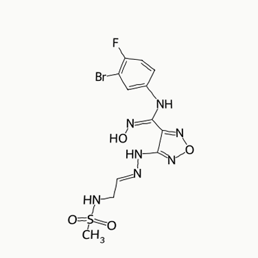 CS(=O)(=O)NCC=NNc1nonc1C(=NO)Nc1ccc(F)c(Br)c1